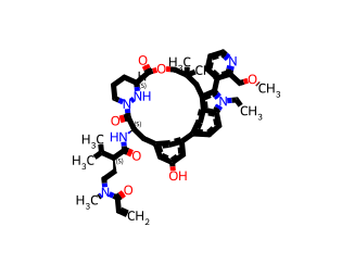 C=CC(=O)N(C)CC[C@H](C(=O)N[C@H]1Cc2cc(O)cc(c2)-c2ccc3c(c2)c(c(-c2cccnc2COC)n3CC)CC(C)(C)COC(=O)[C@@H]2CCCN(N2)C1=O)C(C)C